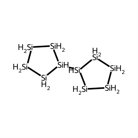 [SiH2]1[SiH2][SiH2][SiH]([SiH]2[SiH2][SiH2][SiH2][SiH2]2)[SiH2]1